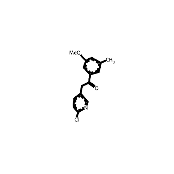 COc1cc(C)cc(C(=O)Cc2ccc(Cl)nc2)c1